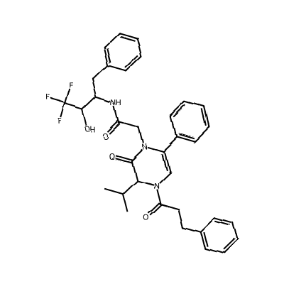 CC(C)C1C(=O)N(CC(=O)NC(Cc2ccccc2)C(O)C(F)(F)F)C(c2ccccc2)=CN1C(=O)CCc1ccccc1